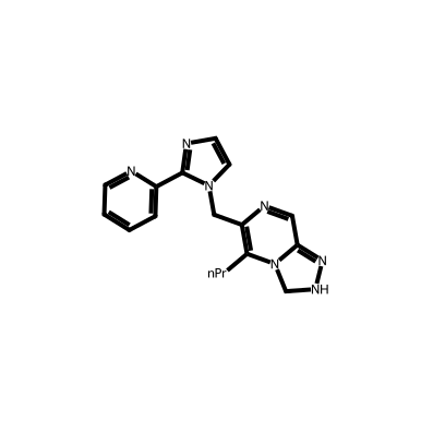 CCCC1=C(Cn2ccnc2-c2ccccn2)N=CC2=NNCN21